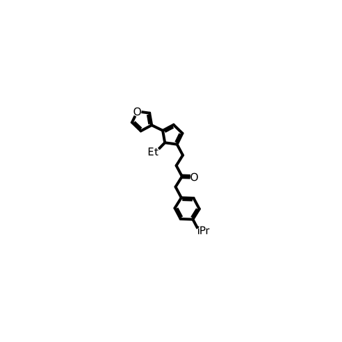 CCC1C(CCC(=O)Cc2ccc(C(C)C)cc2)=CC=C1c1ccoc1